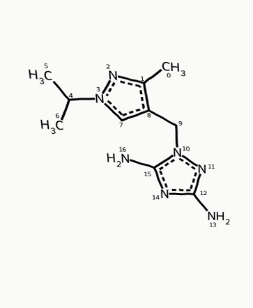 Cc1nn(C(C)C)cc1Cn1nc(N)nc1N